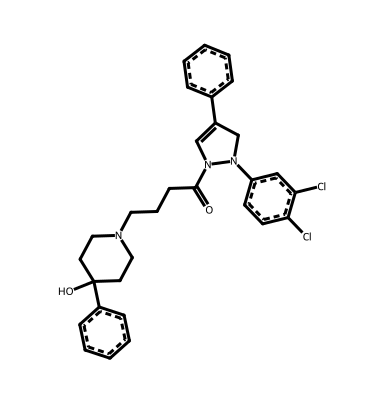 O=C(CCCN1CCC(O)(c2ccccc2)CC1)N1C=C(c2ccccc2)CN1c1ccc(Cl)c(Cl)c1